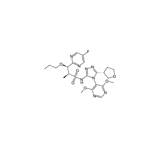 CCCO[C@@H](c1ncc(F)cn1)[C@H](C)S(=O)(=O)Nc1nnc([C@@H]2CCOC2)n1-c1c(OC)ncnc1OC